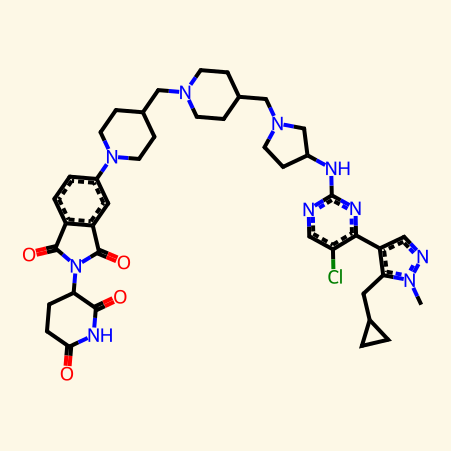 Cn1ncc(-c2nc(NC3CCN(CC4CCN(CC5CCN(c6ccc7c(c6)C(=O)N(C6CCC(=O)NC6=O)C7=O)CC5)CC4)C3)ncc2Cl)c1CC1CC1